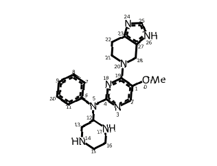 COc1cnc(N(c2ccccc2)C2CNCCN2)nc1N1CCc2nc[nH]c2C1